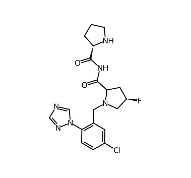 O=C(NC(=O)[C@H]1CCCN1)C1C[C@@H](F)CN1Cc1cc(Cl)ccc1-n1cncn1